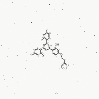 CCCCCCCCOC(=O)CCOc1ccc(-c2nc(-c3ccc(C)cc3C)nc(-c3ccc(C)cc3C)n2)c(O)c1